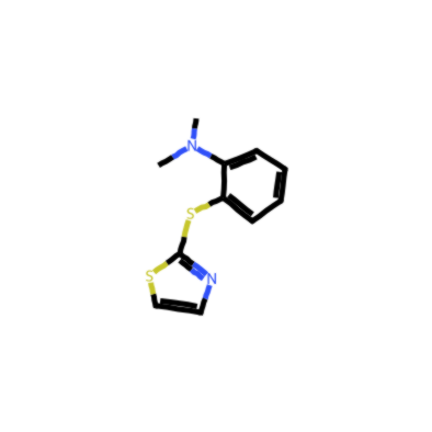 CN(C)c1ccccc1Sc1nccs1